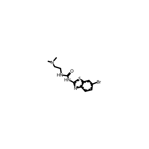 CN(C)CCNC(=O)Nc1nc2ccc(Br)cc2s1